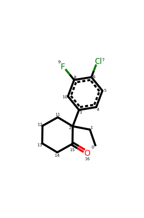 CCC1(c2ccc(Cl)c(F)c2)CCCCC1=O